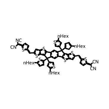 [C-]#[N+]C([N+]#[C-])=c1cc/c(=C\c2cc3sc4c(c3s2)C(c2csc(CCCCCC)c2)(c2ccc(CCCCCC)s2)c2cc3c(cc2-4)C(C2=CC=C(CCCCCC)C2)(c2csc(CCCCCC)c2)c2c-3sc3cc(/C=c4\ccc(=C(C#N)C#N)s4)sc23)s1